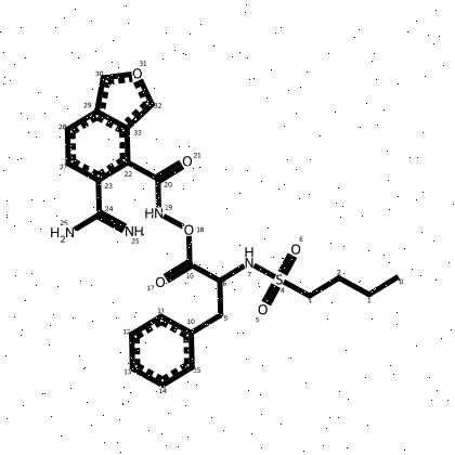 CCCCS(=O)(=O)NC(Cc1ccccc1)C(=O)ONC(=O)c1c(C(=N)N)ccc2cocc12